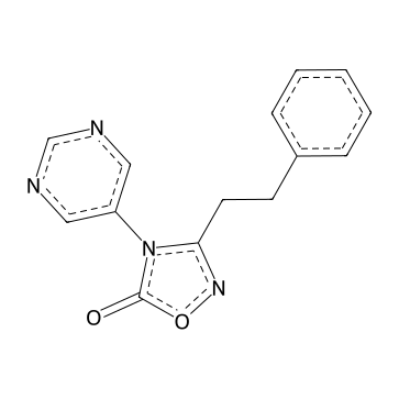 O=c1onc(CCc2ccccc2)n1-c1cncnc1